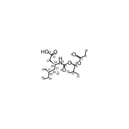 CCC(=O)O[C@@H](OC(=O)N[C@H](CC(=O)O)[C@H](C)[C@H](C)CC)C(C)C